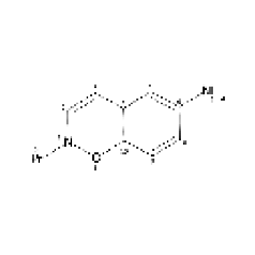 CC(C)N1C=Cc2cc(N)ccc2O1